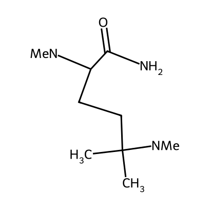 CNC(CCC(C)(C)NC)C(N)=O